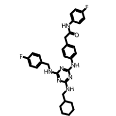 O=C(Cc1ccc(Nc2nc(NCc3ccc(F)cc3)nc(NCC3CCCCC3)n2)cc1)Nc1ccc(F)cc1